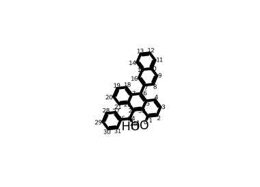 Oc1cccc2c(-c3ccc4ccccc4c3)c3ccccc3c(C(O)c3ccccc3)c12